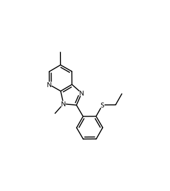 CCSc1ccccc1-c1nc2cc(C)cnc2n1C